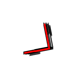 CO.CO.CO.CO.CO.CO.CO.CO.CO.CO.CO.CO.CO.CO.CO.CO.CO.CO.CO.CO.CO.CO.CO.CO.CO.CO.CO.CO.CO.CO.CO.CO.CO.CO.CO.CO.CO.CO.CO.CO.CO.CO.CO.CO.CO.CO.CO.CO.CO.CO.N.N.N.N.N.N.N.N.N.N.N.N.N.N.N.N.N.N.N.N.N.N.N.N.N.N.N.N.N.N.N.N.N.N.N.N.N.N.N.N.N.N.N.N.N.N.N.N.N.N